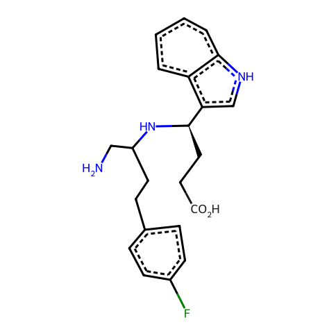 NCC(CCc1ccc(F)cc1)N[C@H](CCC(=O)O)c1c[nH]c2ccccc12